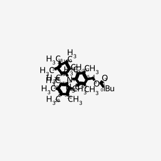 CCC(C)C(=O)OCc1c(C)c(C)c(N(c2c(C)c(C)c(C)c(C)c2C)c2c(C)c(C)c(C)c(C)c2C)c(C)c1C